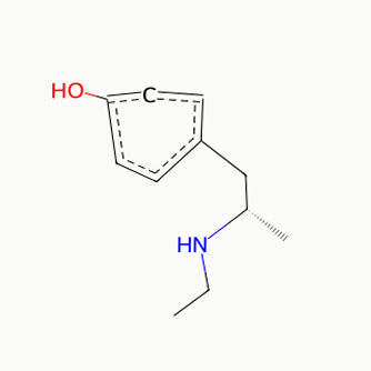 CCN[C@@H](C)Cc1ccc(O)cc1